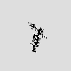 Cn1ncc(OCC2(F)CNC2)c1-c1ccn2nc(NC(=O)C3CC3)cc2c1